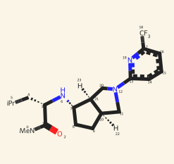 CNC(=O)[C@H](CC(C)C)N[C@H]1CC[C@@H]2CN(c3cccc(C(F)(F)F)n3)C[C@@H]21